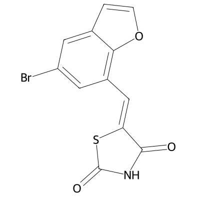 O=C1NC(=O)/C(=C/c2cc(Br)cc3ccoc23)S1